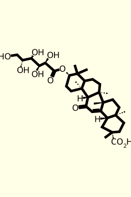 CC1(C)C2CC[C@]3(C)[C@H](C(=O)C=C4[C@H]5C[C@@](C)(C(=O)O)CC[C@]5(C)CC[C@]43C)[C@@]2(C)CC[C@@H]1OC(=O)[C@H](O)[C@@H](O)[C@H](O)[C@H](O)CO